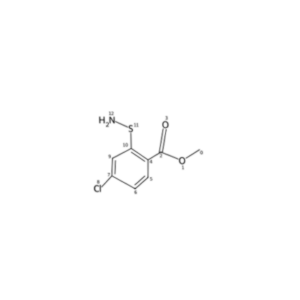 COC(=O)c1ccc(Cl)cc1SN